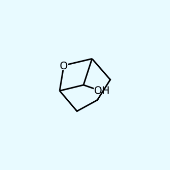 OC1C2CCCC1O2